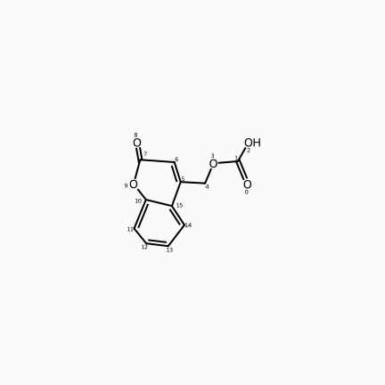 O=C(O)OCc1cc(=O)oc2ccccc12